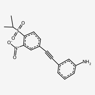 CC(C)S(=O)(=O)c1ccc(C#Cc2cccc(N)c2)cc1[N+](=O)[O-]